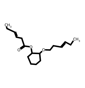 CCC=CCCOC1CCCCC1OC(=O)CC=CCC